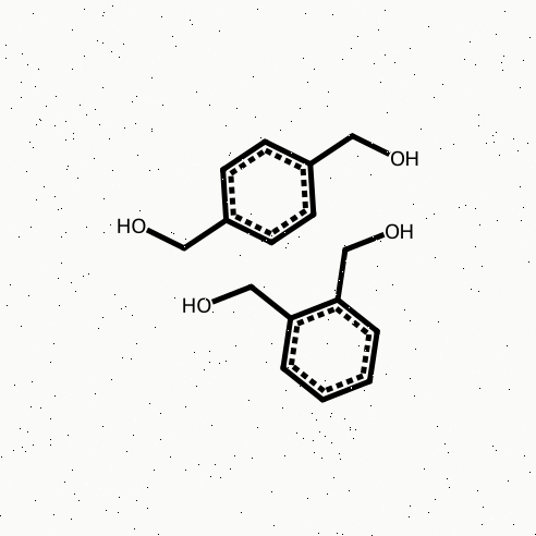 OCc1ccc(CO)cc1.OCc1ccccc1CO